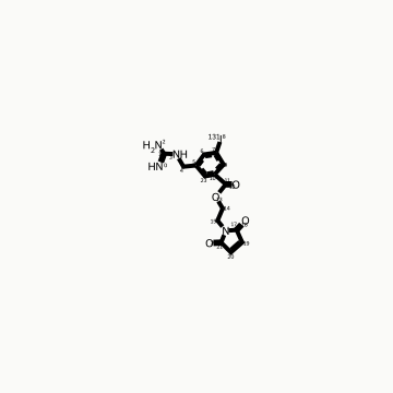 N=C(N)NCc1cc([131I])cc(C(=O)OCCN2C(=O)C=CC2=O)c1